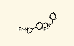 CC(C)N(Cc1ccccc1)Cc1ccc(C2CCN(C(C)C)C2)cc1